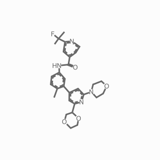 Cc1ccc(NC(=O)c2ccnc(C(C)(C)F)c2)cc1-c1cc(C2COCCO2)nc(N2CCOCC2)c1